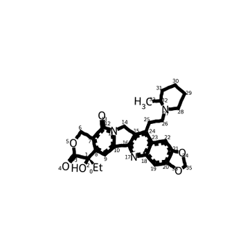 CC[C@@]1(O)C(=O)OCc2c1cc1n(c2=O)Cc2c-1nc1cc3c(cc1c2CCN1CCCCC1C)OCO3